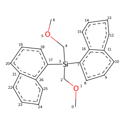 COC[Si](COC)(c1cccc2ccccc12)c1cccc2ccccc12